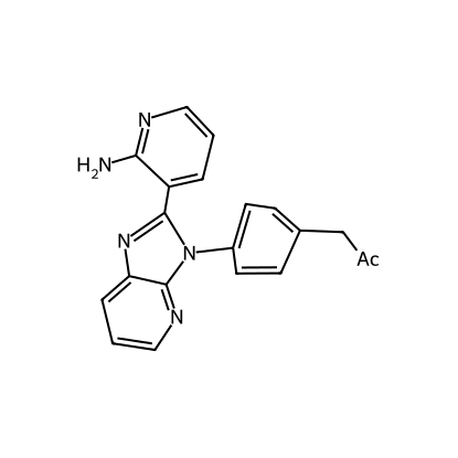 CC(=O)Cc1ccc(-n2c(-c3cccnc3N)nc3cccnc32)cc1